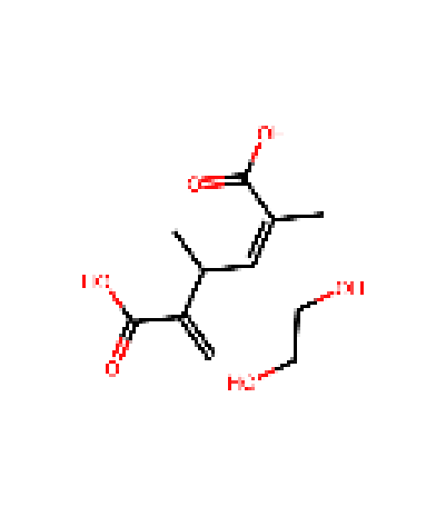 C=C(C(=O)O)C(C)C=C(C)C(=O)O.OCCO